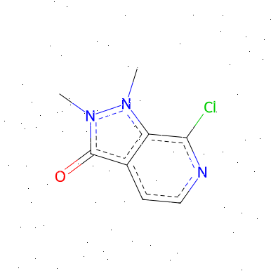 Cn1c(=O)c2ccnc(Cl)c2n1C